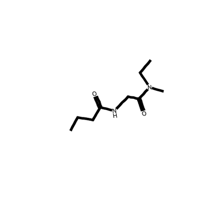 CCCC(=O)NCC(=O)N(C)CC